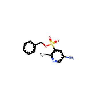 Nc1cnc([N+](=O)[O-])c(S(=O)(=O)OCc2ccccc2)c1